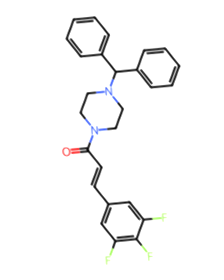 O=C(C=Cc1cc(F)c(F)c(F)c1)N1CCN(C(c2ccccc2)c2ccccc2)CC1